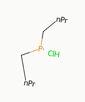 CCCC[P]CCCC.Cl